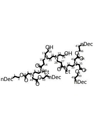 CCCCCCCCCCCCOC(=O)CN(CCN(CC)C(=O)CCN(CCO)CCN(CCO)CCC(=O)N(CC)CCN(CC(=O)OCCCCCCCCCCCC)CC(=O)OCCCCCCCCCCCC)CC(=O)OCCCCCCCCCCCC